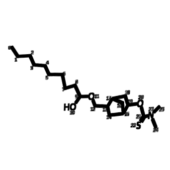 CCCCCCCCCC(O)OCC1CC2CC1CC2OC(=S)N(C)C